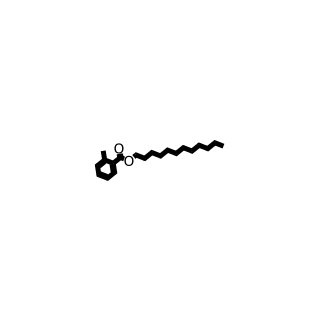 CCCCCCCCCCCCOC(=O)c1ccccc1C